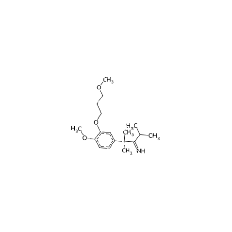 COCCCOc1cc(C(C)(C)C(=N)C(C)C)ccc1OC